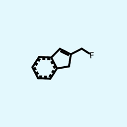 FCC1=Cc2ccccc2C1